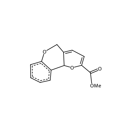 COC(=O)C1=CC=C2COc3ccccc3C2O1